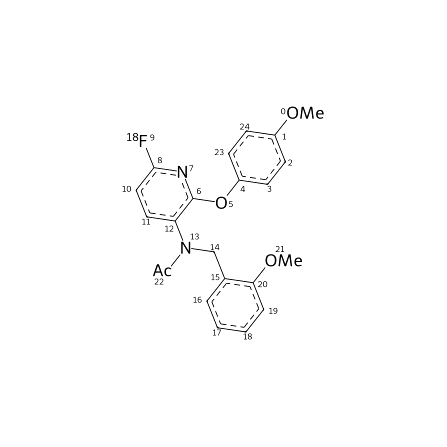 COc1ccc(Oc2nc([18F])ccc2N(Cc2ccccc2OC)C(C)=O)cc1